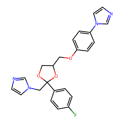 Fc1ccc(C2(Cn3ccnc3)OCC(COc3ccc(-n4ccnc4)cc3)O2)cc1